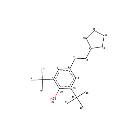 CC(C)(C)c1cc(CCC2CCCC2)cc(C(C)(C)C)c1O